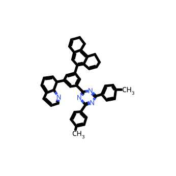 Cc1ccc(-c2nc(-c3ccc(C)cc3)nc(-c3cc(-c4cc5c(c6c4C=CCC6)CCC=C5)cc(C4C=CC=C5C=CC=NC54)c3)n2)cc1